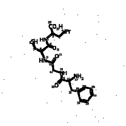 CC(C)CC(NC(=O)C(CS)NC(=O)CNC(=O)C(N)Cc1ccccc1)C(=O)O